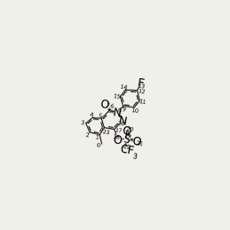 Cc1cccc2c(=O)n(-c3ccc(F)cc3)nc(OS(=O)(=O)C(F)(F)F)c12